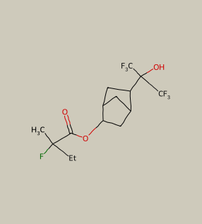 CCC(C)(F)C(=O)OC1CC2CC1CC2C(O)(C(F)(F)F)C(F)(F)F